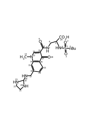 CCCCS(=O)(=O)NC(CNC(=O)c1cn(C)c2cc(CNC3NCCN3)ccc2c1=O)C(=O)O